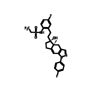 C[C@]12Cc3cnn(-c4ccc(F)cc4)c3C=C1CC[C@@]2(O)CCc1cc(F)ccc1NS(=O)(=O)CC(F)(F)F